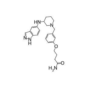 NC(=O)CCCOc1cccc(CN2CCCC(Nc3ccc4[nH]ncc4c3)C2)c1